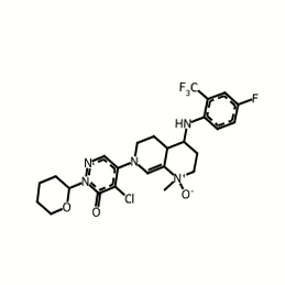 C[N+]1([O-])CCC(Nc2ccc(F)cc2C(F)(F)F)C2CCN(c3cnn(C4CCCCO4)c(=O)c3Cl)C=C21